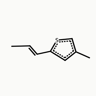 C/C=C/c1cc(C)cs1